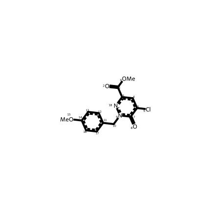 COC(=O)c1cc(Cl)c(=O)n(Cc2ccc(OC)cc2)n1